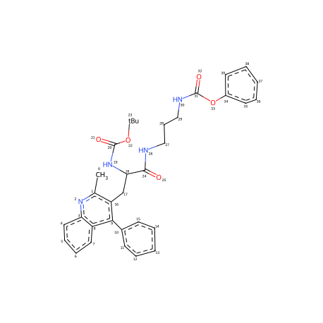 Cc1nc2ccccc2c(-c2ccccc2)c1CC(NC(=O)OC(C)(C)C)C(=O)NCCCNC(=O)Oc1ccccc1